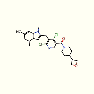 CC1CC(C#N)=Cc2c1cc(Cc1c(Cl)ncc(C(=O)N3CCC(C4COC4)CC3)c1Cl)n2C